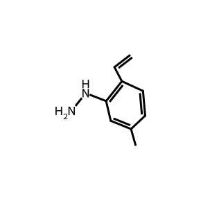 C=Cc1ccc(C)cc1NN